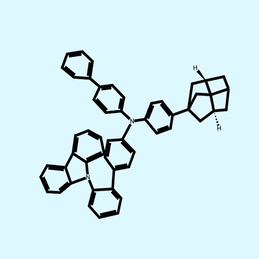 c1ccc(-c2ccc(N(c3ccc(-c4ccccc4-n4c5ccccc5c5ccccc54)cc3)c3ccc(C45C[C@@H]6CC7C[C@@H](C4)C76C5)cc3)cc2)cc1